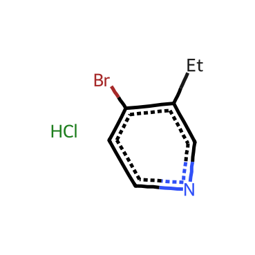 CCc1cnccc1Br.Cl